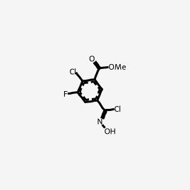 COC(=O)c1cc(C(Cl)=NO)cc(F)c1Cl